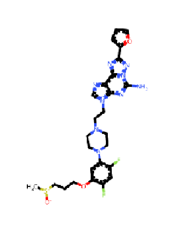 C[S+]([O-])CCCOc1cc(N2CCN(CCn3cnc4c3nc(N)n3nc(-c5ccco5)nc43)CC2)c(F)cc1F